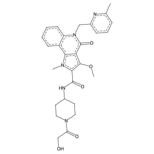 COc1c(C(=O)NC2CCN(C(=O)CO)CC2)n(C)c2c1c(=O)n(Cc1cccc(C)n1)c1ccccc21